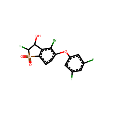 O=S1(=O)c2ccc(Oc3cc(F)cc(F)c3)c(Br)c2C(O)C1F